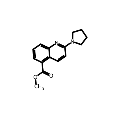 COC(=O)c1cccc2nc(N3CCCC3)ccc12